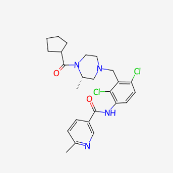 Cc1ccc(C(=O)Nc2ccc(Cl)c(CN3CCN(C(=O)C4CCCC4)[C@@H](C)C3)c2Cl)cn1